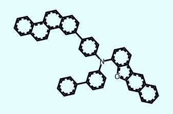 c1ccc(-c2cccc(N(c3ccc(-c4ccc5ccc6c7ccccc7ccc6c5c4)cc3)c3cccc4c3oc3cc5ccccc5cc34)c2)cc1